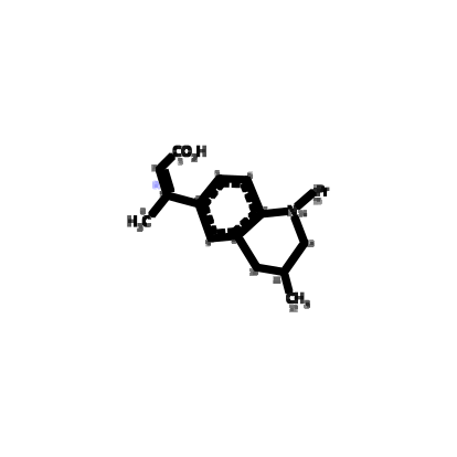 C/C(=C/C(=O)O)c1ccc2c(c1)CC(C)CN2C(C)C